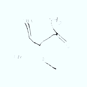 CC[C@H](C=N)C(N)=O.Cl